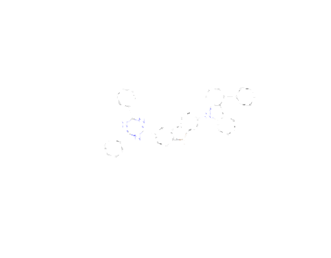 c1ccc(-c2nc(-c3ccccc3)nc(-c3ccc4sc5cc(-n6c7ccccc7c7c(-c8ccccc8)cccc76)ccc5c4c3)n2)cc1